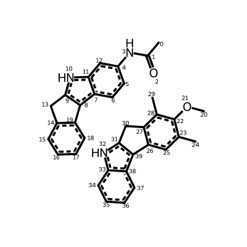 CC(=O)Nc1ccc2c3c([nH]c2c1)Cc1ccccc1-3.COc1c(C)cc2c(c1C)Cc1[nH]c3ccccc3c1-2